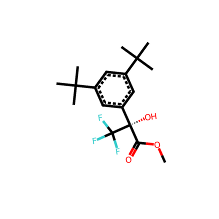 COC(=O)[C@](O)(c1cc(C(C)(C)C)cc(C(C)(C)C)c1)C(F)(F)F